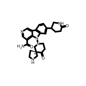 NC(=O)c1cncc2c3ccc(C4CCC(=O)NC4)cc3n(N3CCC(=O)[C@@]4(CCNC4)C3)c12